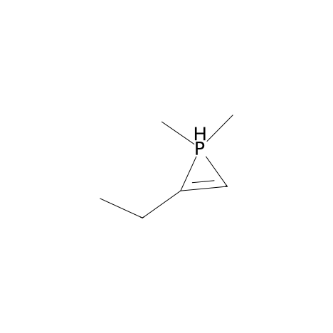 CCC1=C[PH]1(C)C